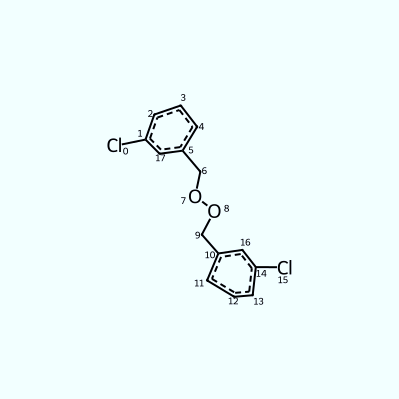 Clc1cccc(COOCc2cccc(Cl)c2)c1